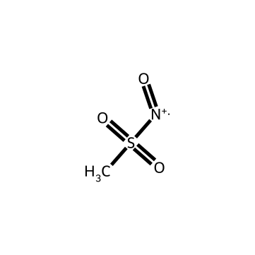 CS(=O)(=O)[N+]=O